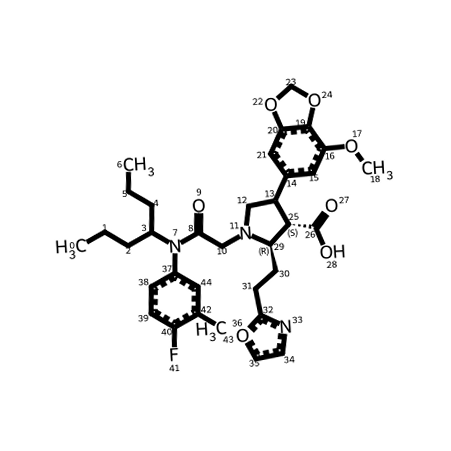 CCCC(CCC)N(C(=O)CN1CC(c2cc(OC)c3c(c2)OCO3)[C@H](C(=O)O)[C@H]1CCc1ncco1)c1ccc(F)c(C)c1